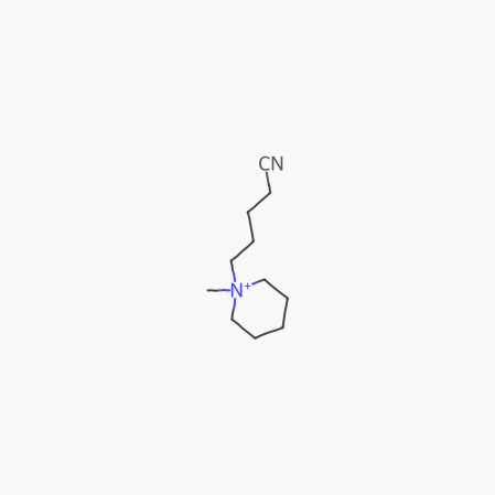 C[N+]1(CCCCC#N)CCCCC1